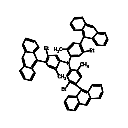 CCc1cc(N(c2cc(CC)c(-c3c4ccccc4cc4ccccc34)cc2C)c2cc(CC)c(-c3c4ccccc4cc4ccccc34)cc2C)c(C)cc1-c1c2ccccc2cc2ccccc12